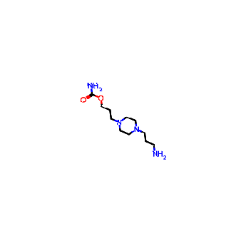 NCCCN1CCN(CCCOC(N)=O)CC1